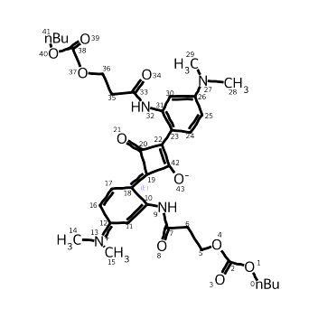 CCCCOC(=O)OCCC(=O)NC1=CC(=[N+](C)C)C=C/C1=C1\C(=O)C(c2ccc(N(C)C)cc2NC(=O)CCOC(=O)OCCCC)=C1[O-]